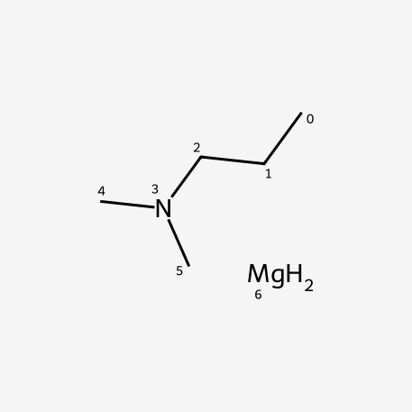 CCCN(C)C.[MgH2]